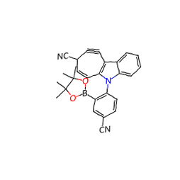 CC1(C)OB(c2cc(C#N)ccc2-n2c3c(c4ccccc42)C#CC(C#N)C=C3)OC1(C)C